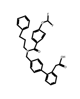 O=C(O)Cc1ccccc1-c1ccc(CN(CCCc2ccccc2)C(=O)c2ccc(OC(F)F)cc2)cc1